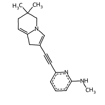 CNc1cccc(C#CC2=CN3CC(C)(C)CC=C3C2)n1